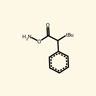 CC(C)(C)C(C(=O)ON)c1ccccc1